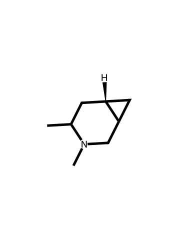 CC1C[C@@H]2CC2CN1C